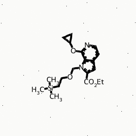 CCOC(=O)c1cc2ccnc(OC3CC3)c2n1COCC[Si](C)(C)C